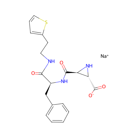 O=C(NCCc1cccs1)[C@H](Cc1ccccc1)NC(=O)[C@H]1N[C@@H]1C(=O)[O-].[Na+]